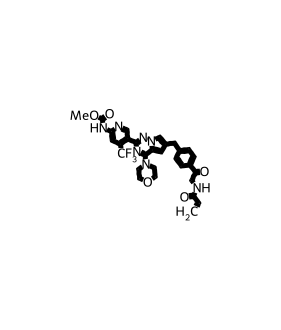 C=CC(=O)NCC(=O)c1ccc(Cc2cc3c(N4CCOCC4)nc(-c4cnc(NC(=O)OC)cc4C(F)(F)F)nn3c2)cc1